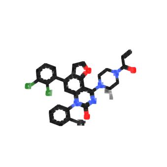 C=CC(=O)N1CCN(c2nc(=O)n(-c3ccccc3C(C)C)c3cc(-c4cccc(Cl)c4Cl)c4ccoc4c23)[C@@H](C)C1